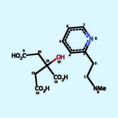 CNCCc1ccccn1.O=C(O)CC(O)(CC(=O)O)C(=O)O